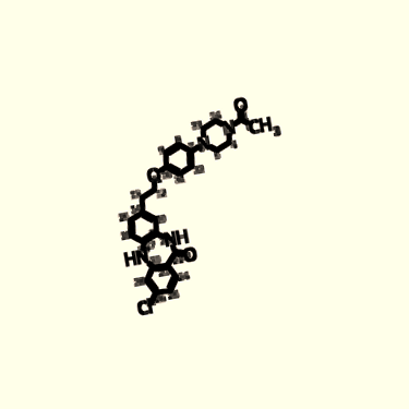 CC(=O)N1CCN(c2ccc(OCCc3ccc4c(c3)NC(=O)c3ccc(Cl)cc3N4)cc2)CC1